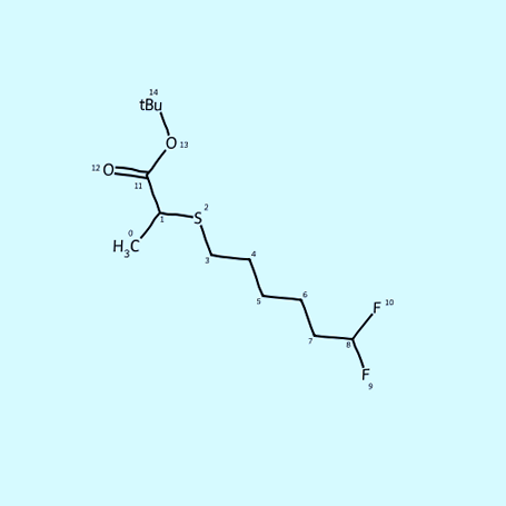 CC(SCCCCCC(F)F)C(=O)OC(C)(C)C